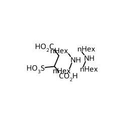 CCCCCCNCCCCCC.CCCCCCNCCCCCC.O=C(O)CC(C(=O)O)S(=O)(=O)O